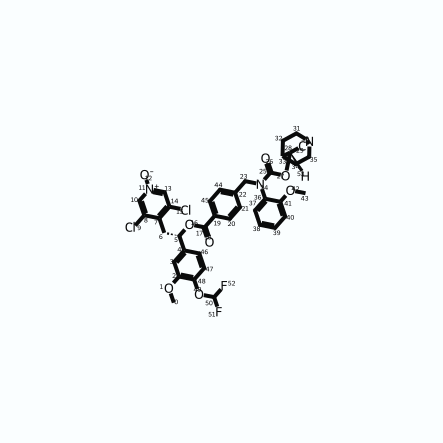 COc1cc([C@H](Cc2c(Cl)c[n+]([O-])cc2Cl)OC(=O)c2ccc(CN(C(=O)O[C@H]3CN4CCC3CC4)c3ccccc3OC)cc2)ccc1OC(F)F